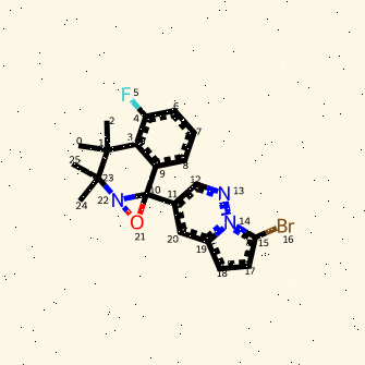 CC1(C)c2c(F)cccc2C2(c3cnn4c(Br)ccc4c3)ON2C1(C)C